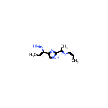 C/C=C\N=C(/C)c1nc(/C(=C/C)N=N)c[nH]1